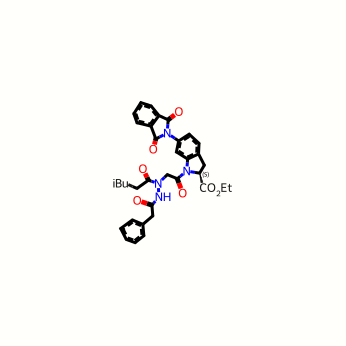 CCOC(=O)[C@@H]1Cc2ccc(N3C(=O)c4ccccc4C3=O)cc2N1C(=O)CN(NC(=O)Cc1ccccc1)C(=O)CC(C)CC